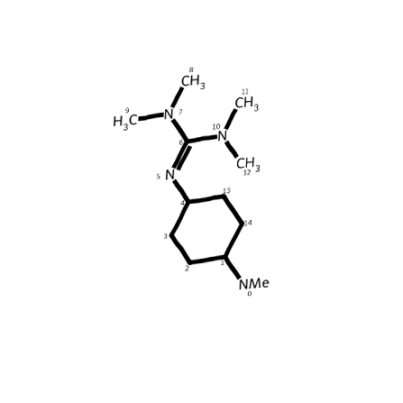 CNC1CCC(N=C(N(C)C)N(C)C)CC1